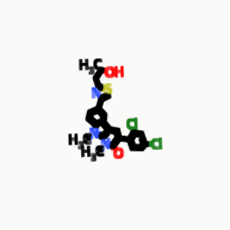 CC(O)Cc1nc(-c2ccc3c(c2)c2cc(-c4ccc(Cl)cc4Cl)c(=O)n(C)c2n3C)cs1